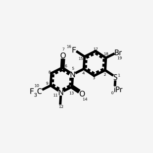 CC(C)Sc1cc(-n2c(=O)cc(C(F)(F)F)n(C)c2=O)c(F)cc1Br